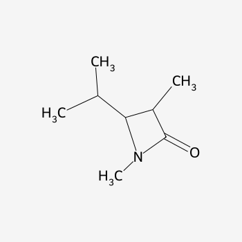 CC(C)C1C(C)C(=O)N1C